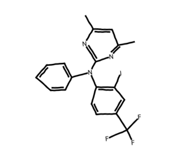 Cc1cc(C)nc(N(c2ccccc2)c2ccc(C(F)(F)F)cc2I)n1